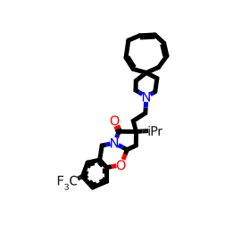 CC(C)C1(CCN2CCC3(/C=C\C/C=C\C=C/C3)CC2)CC2Oc3ccc(C(F)(F)F)cc3CN2C1=O